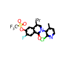 Cc1ccnc(Cl)c1-n1cc(C(C)C)c2cc(OS(=O)(=O)C(F)(F)F)c(F)cc2c1=O